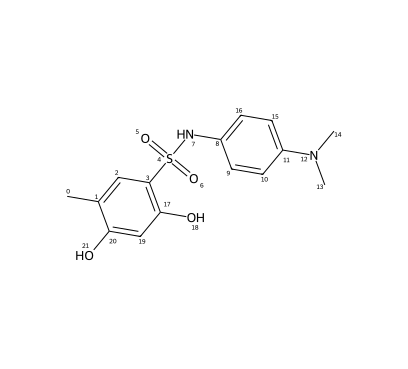 Cc1cc(S(=O)(=O)Nc2ccc(N(C)C)cc2)c(O)cc1O